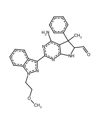 COCCn1nc(-c2nc(N)c3c(n2)NC(C=O)C3(C)c2ccccc2)c2ccccc21